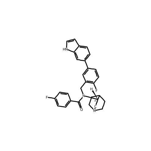 O=C(c1ccc(F)cc1)N(Cc1cc(-c2ccc3cc[nH]c3c2)ccc1F)[C@H]1CN2CCC1CC2